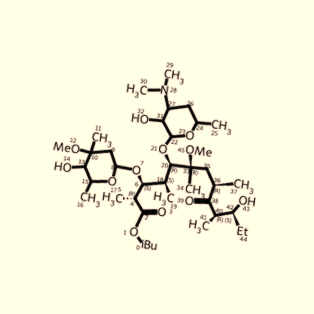 CCC(C)OC(=O)[C@H](C)[C@@H](OC1CC(C)(OC)C(O)C(C)O1)[C@H](C)[C@@H](OC1OC(C)CC(N(C)C)C1O)[C@@](C)(C[C@@H](C)C(=O)[C@H](C)[C@@H](O)CC)OC